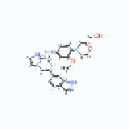 COc1cc(Nc2nc(-c3ccc4cn[nH]c4c3)cn3ccnc23)ccc1N1CCO[C@@H](CO)C1